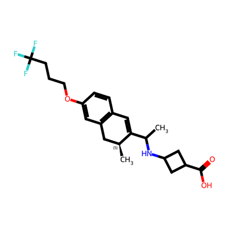 CC(NC1CC(C(=O)O)C1)C1=Cc2ccc(OCCCC(F)(F)F)cc2C[C@@H]1C